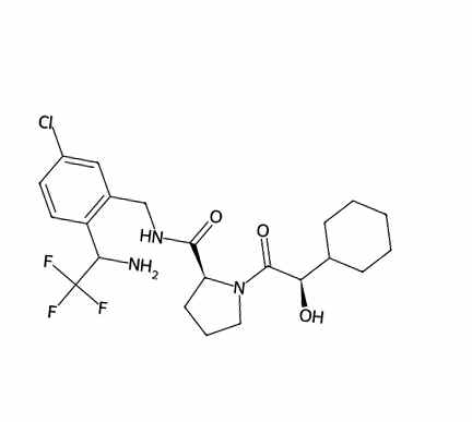 NC(c1ccc(Cl)cc1CNC(=O)[C@@H]1CCCN1C(=O)[C@H](O)C1CCCCC1)C(F)(F)F